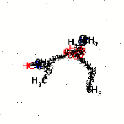 CCCCCCCC/C=C\CCCCCCCC(=O)OC[C@H](COP(=O)(O)OCC[N+](C)(C)C)OC(=O)CCCCCCC/C=C\CCCCCCCC.C[N+](C)(C)CCO